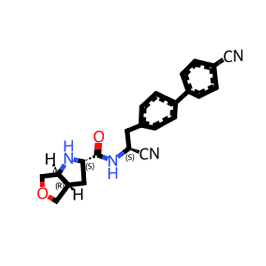 N#Cc1ccc(-c2ccc(C[C@@H](C#N)NC(=O)[C@@H]3C[C@H]4COC[C@H]4N3)cc2)cc1